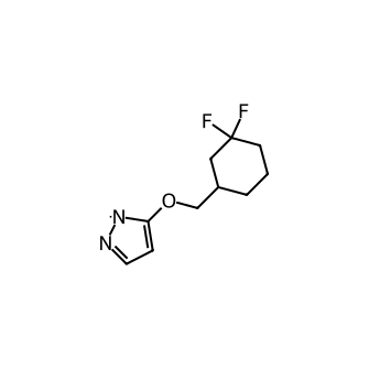 FC1(F)CCCC(COC2=CC=N[N]2)C1